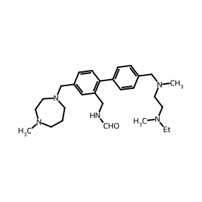 CCN(C)CCN(C)Cc1ccc(-c2ccc(CN3CCCN(C)CC3)cc2CNC=O)cc1